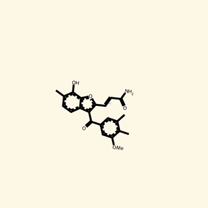 COc1cc(C(=O)c2c(/C=C/C(N)=O)oc3c(O)c(C)ccc23)cc(C)c1C